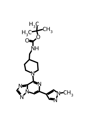 Cn1cc(-c2cn3ncnc3c(N3CCC(CNC(=O)OC(C)(C)C)CC3)n2)cn1